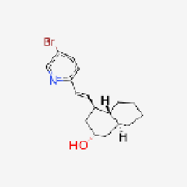 O[C@H]1C[C@@H]2CCCC[C@H]2[C@H](/C=C/c2ccc(Br)cn2)C1